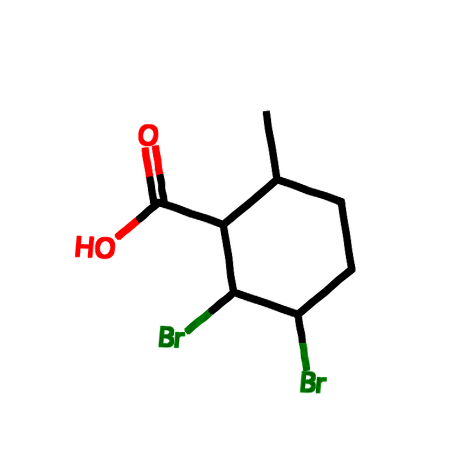 CC1CCC(Br)C(Br)C1C(=O)O